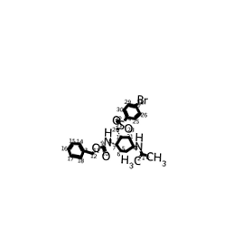 CC(C)N[C@@H]1CC[C@H](NC(=O)OCc2ccccc2)[C@H](CS(=O)(=O)c2ccc(Br)cc2)C1